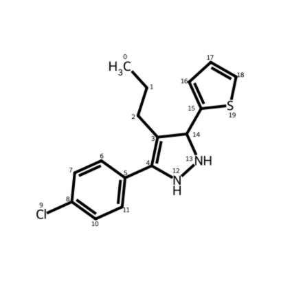 CCCC1=C(c2ccc(Cl)cc2)NNC1c1cccs1